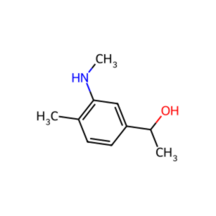 CNc1cc(C(C)O)ccc1C